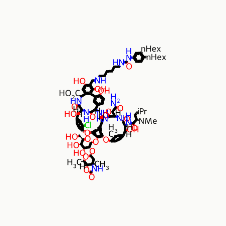 CCCCCCc1ccc(NC(=O)NCCCCCCNCc2c(O)cc3c(c2O)-c2cc(ccc2O)[C@H]2NC(=O)[C@@H]4NC(=O)[C@H](CC(N)=O)NC(=O)[C@H](NC(=O)[C@@H](CC(C)C)NC)[C@H](O)c5ccc(c(C)c5)Oc5cc4cc(c5O[C@@H]4O[C@H](CO)[C@@H](O)[C@H](O)[C@H]4O[C@H]4C[C@]5(C)NC(=O)O[C@@H]5[C@H](C)O4)Oc4ccc(cc4Cl)[C@@H](O)[C@H](NC2=O)C(=O)N[C@@H]3C(=O)O)cc1CCCCCC